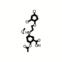 CC(=O)Oc1ccc(NCCOc2ccc(Cl)cc2Cl)cc1C(=O)O.COC